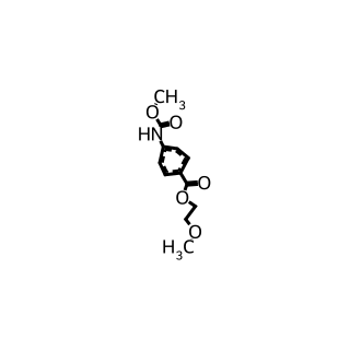 COCCOC(=O)c1ccc(NC(=O)OC)cc1